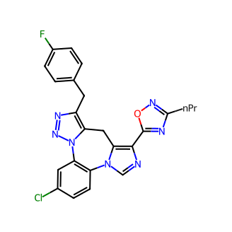 CCCc1noc(-c2ncn3c2Cc2c(Cc4ccc(F)cc4)nnn2-c2cc(Cl)ccc2-3)n1